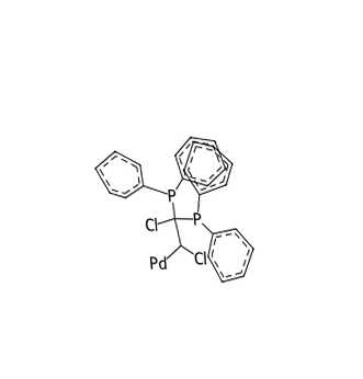 Cl[CH]([Pd])C(Cl)(P(c1ccccc1)c1ccccc1)P(c1ccccc1)c1ccccc1